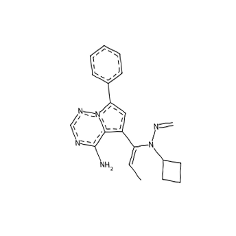 C=NN(/C(=C\C)c1cc(-c2ccccc2)n2ncnc(N)c12)C1CCC1